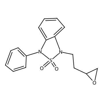 O=S1(=O)N(CCC2CO2)c2ccccc2N1c1ccccc1